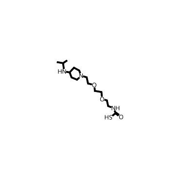 CC(C)NC1CCN(CCOCCOCCNC(=O)S)CC1